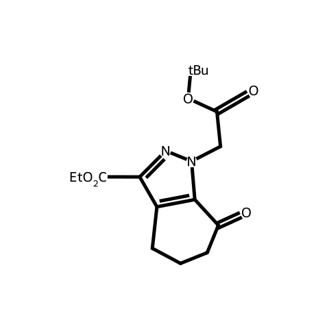 CCOC(=O)c1nn(CC(=O)OC(C)(C)C)c2c1CCCC2=O